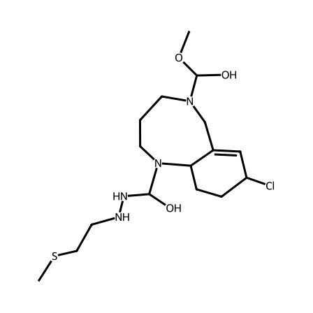 COC(O)N1CCCN(C(O)NNCCSC)C2CCC(Cl)C=C2C1